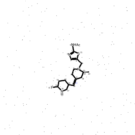 CC(=O)Nc1ncc(CN2CC/C(=C\C3CCC(F)NC3)C[C@@H]2C)s1